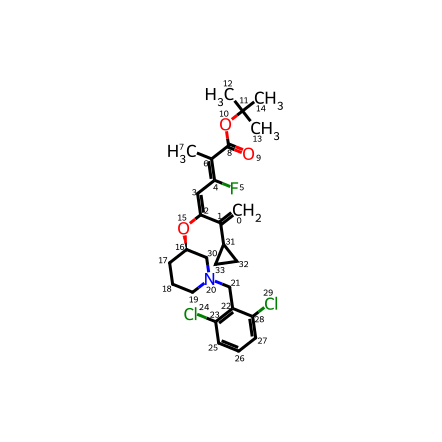 C=C(/C(=C\C(F)=C(/C)C(=O)OC(C)(C)C)O[C@@H]1CCCN(Cc2c(Cl)cccc2Cl)C1)C1CC1